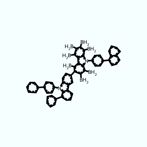 Bc1c(B)c(B)c2c(c1B)c1c(B)c(-c3ccc4c(c3)c3cccc(-c5ccccc5)c3n4-c3ccc(-c4ccccc4)cc3)c(B)c(B)c1n2-c1ccc(-c2cccc3ccccc23)cc1